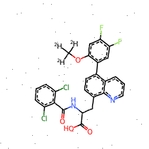 [2H]C([2H])([2H])Oc1cc(F)c(F)cc1-c1ccc(CC(NC(=O)c2c(Cl)cccc2Cl)C(=O)O)c2ncccc12